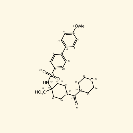 COc1ccc(-c2ccc(S(=O)(=O)NC3(C(=O)O)CCN(C(=O)N4CCOCC4)CC3)cc2)cc1